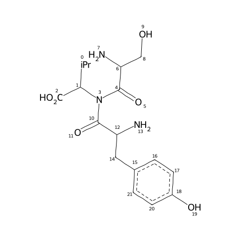 CC(C)C(C(=O)O)N(C(=O)C(N)CO)C(=O)C(N)Cc1ccc(O)cc1